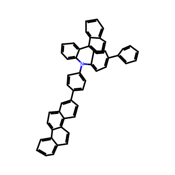 c1ccc(-c2ccc(N(c3ccc(-c4ccc5c(ccc6c7ccccc7ccc56)c4)cc3)c3ccccc3-c3cccc4ccccc34)cc2)cc1